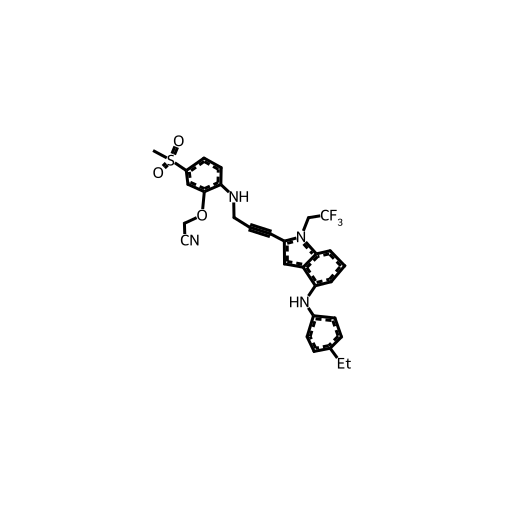 CCc1ccc(Nc2cccc3c2cc(C#CCNc2ccc(S(C)(=O)=O)cc2OCC#N)n3CC(F)(F)F)cc1